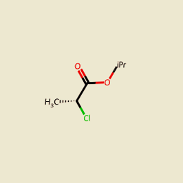 CC(C)OC(=O)[C@@H](C)Cl